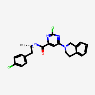 O=C(N[C@H](Cc1ccc(Cl)cc1)C(=O)O)c1cc(N2CCc3ccccc3C2)nc(Cl)n1